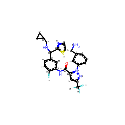 NCc1cccc(-n2nc(C(F)(F)F)cc2C(=O)Nc2cc(C(NCC3CC3)c3nccs3)ccc2F)c1